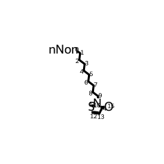 CCCCCCCCCCCCCCCCCCn1sccc1=O